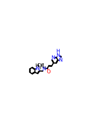 CN(Cc1cc2ccccc2n1C)C(=O)/C=C/c1cnc2[nH]cnc2c1